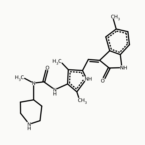 Cc1ccc2c(c1)/C(=C/c1[nH]c(C)c(NC(=O)N(C)C3CCNCC3)c1C)C(=O)N2